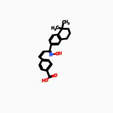 CC1(C)CCCc2cc(C(/C=C\c3ccc(C(=O)O)cc3)=NO)ccc21